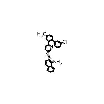 Cc1ccc(-c2cccc(Cl)c2)c(-c2ccc(N=Nc3ccc4ccccc4c3N)cn2)c1